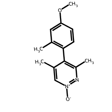 COc1ccc(-c2c(C)c[n+]([O-])nc2C)c(C)c1